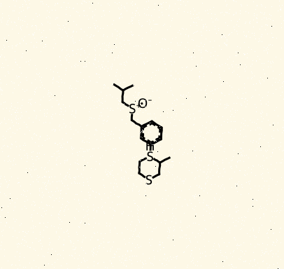 CC(C)C[S+]([O-])Cc1cccc([SH]2CCSCC2C)c1